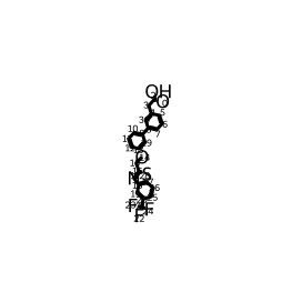 O=C(O)Cc1cccc(-c2cccc(OCc3nc4cc(C(F)(F)F)ccc4s3)c2)c1